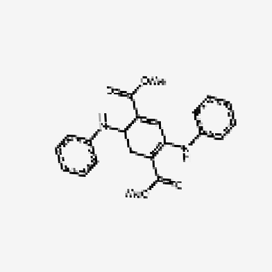 COC(=O)C1=CC(Nc2ccccc2)=C(C(=O)OC)CC1Nc1ccccc1